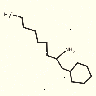 CCCCCCCC(N)CC1CCCCC1